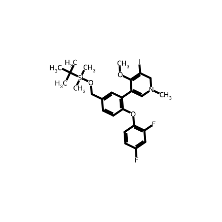 COC1=C(I)CN(C)C=C1c1cc(CO[Si](C)(C)C(C)(C)C)ccc1Oc1ccc(F)cc1F